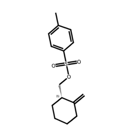 C=C1CCCC[C@@H]1COS(=O)(=O)c1ccc(C)cc1